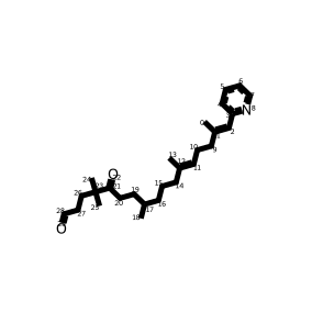 C/C(=C\c1ccccn1)CC/C=C(\C)CCCC(C)CCC(=O)C(C)(C)CCC=O